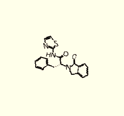 O=C(Nc1nccs1)[C@@H](Cc1ccccc1)N1Cc2ccccc2C1=O